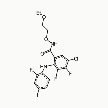 CCOCCONC(=O)c1cc(Cl)c(F)c(F)c1Nc1ccc(I)cc1F